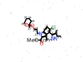 CCCn1nc(C)c(C)c1-c1c(Cl)ccc2c1c(C)c(C(=O)OC)n2CCCOC1(C)CCCCO1